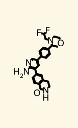 Nc1ncc(-c2ccc(C3COCCN3CC(F)F)cc2)cc1-c1ccc2c(c1)CCNC2=O